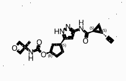 C#C[C@H]1C[C@@H]1C(=O)Nc1cc([C@H]2CC[C@@H](OC(=O)NC3(C)COC3)C2)[nH]n1